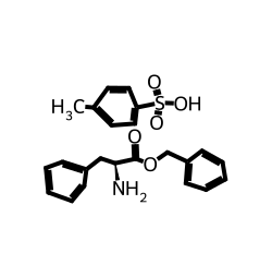 Cc1ccc(S(=O)(=O)O)cc1.N[C@@H](Cc1ccccc1)C(=O)OCc1ccccc1